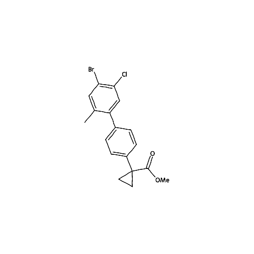 COC(=O)C1(c2ccc(-c3cc(Cl)c(Br)cc3C)cc2)CC1